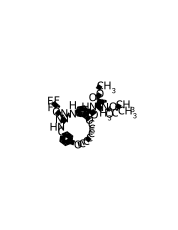 CCOC(=O)[C@H]1CN(C(=O)OC(C)(C)C)C[C@H]1NC(=O)c1ccc2cc1OCCCCCCOc1ccc(cc1)CNc1nc(nc(OCC(F)(F)F)n1)N2